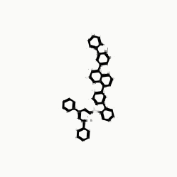 c1ccc(-c2cc(-c3ccccc3)nc(-n3c4ccccc4c4cc(-c5cccc6c(-c7ccc8sc9ccccc9c8c7)cccc56)ccc43)c2)cc1